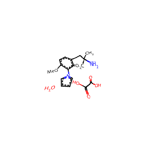 COc1ccc(C[C@](C)(N)C(=O)O)cc1-n1cccc1.O.O=C(O)C(=O)O